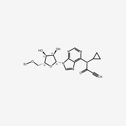 C#CC(=O)N(c1ncnc2c1ncn2[C@@H]1O[C@H](COCC)[C@@H](O)[C@H]1O)C1CC1